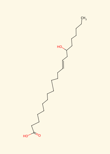 CCCCCCC(O)CC=CCCCCCCCCCCCC(=O)O